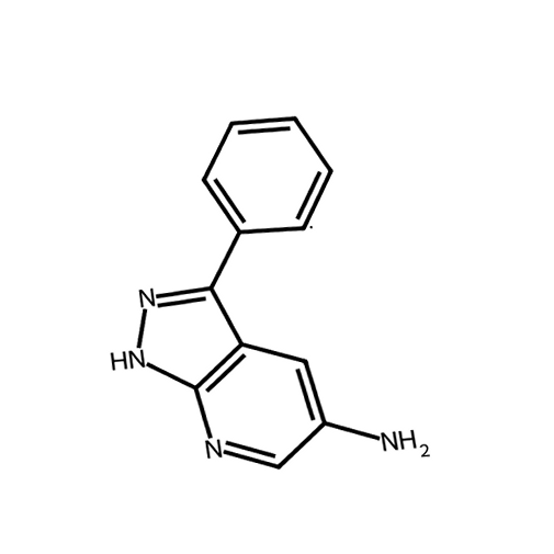 Nc1cnc2[nH]nc(-c3[c]cccc3)c2c1